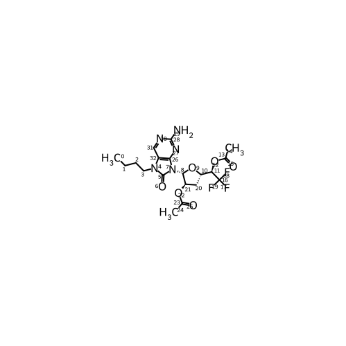 CCCCn1c(=O)n([C@@H]2O[C@H]([C@@H](OC(C)=O)C(F)(F)F)C[C@H]2OC(C)=O)c2nc(N)ncc21